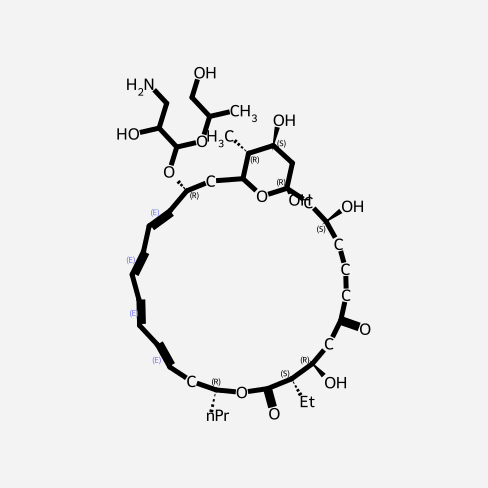 CCC[C@@H]1C/C=C/C=C/C=C/C=C/[C@H](OC(OC(C)CO)C(O)CN)CC2O[C@](O)(C[C@@H](O)CCCC(=O)C[C@@H](O)[C@H](CC)C(=O)O1)C[C@H](O)[C@H]2C